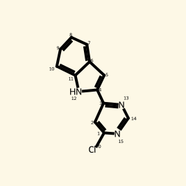 Clc1cc(-c2cc3ccccc3[nH]2)ncn1